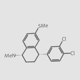 CN[C@H]1CC[C@@H](c2ccc(Cl)c(Cl)c2)c2cc(SC)ccc21